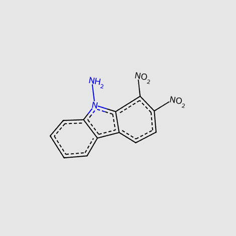 Nn1c2ccccc2c2ccc([N+](=O)[O-])c([N+](=O)[O-])c21